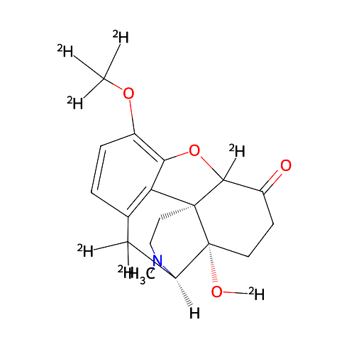 [2H]O[C@@]12CCC(=O)C3([2H])Oc4c(OC([2H])([2H])[2H])ccc5c4[C@@]31CCN(C)[C@@H]2C5([2H])[2H]